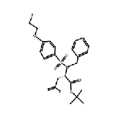 C=C(F)C[C@@H](C(=O)OC(C)(C)C)N(Cc1ccccc1)S(=O)(=O)c1ccc(OCCF)cc1